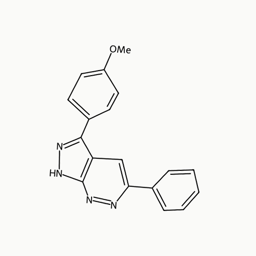 COc1ccc(-c2n[nH]c3nnc(-c4ccccc4)cc23)cc1